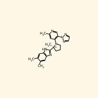 Cc1cc(N2CCC[C@@]2(C)c2nc3cc(C)c(C)cc3[nH]2)c(-n2nccn2)[c]n1